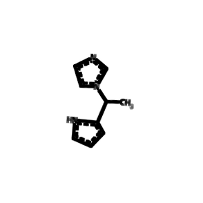 CC(c1ccc[nH]1)n1ccnc1